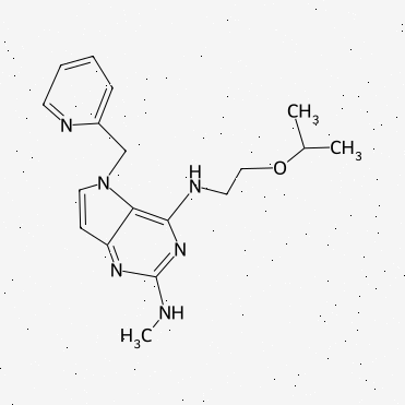 CNc1nc(NCCOC(C)C)c2c(ccn2Cc2ccccn2)n1